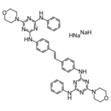 C(=Cc1ccc(Nc2nc(Nc3ccccc3)nc(N3CCOCC3)n2)cc1)c1ccc(Nc2nc(Nc3ccccc3)nc(N3CCOCC3)n2)cc1.[NaH].[NaH]